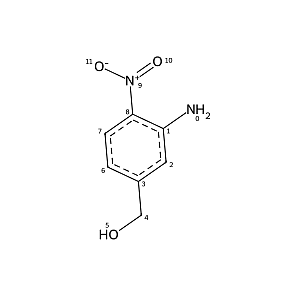 Nc1cc(CO)ccc1[N+](=O)[O-]